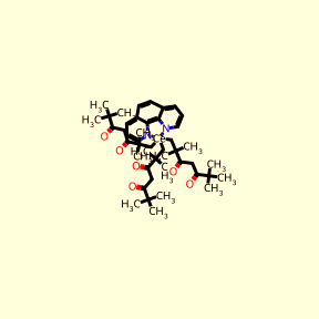 CC(C)(C)C(=O)CC(=O)C(C)(C)[CH2][Ce]1([CH2]C(C)(C)C(=O)CC(=O)C(C)(C)C)([CH2]C(C)(C)C(=O)CC(=O)C(C)(C)C)[N]2C=CC=c3ccc4c(c32)[N]1C=CC=4